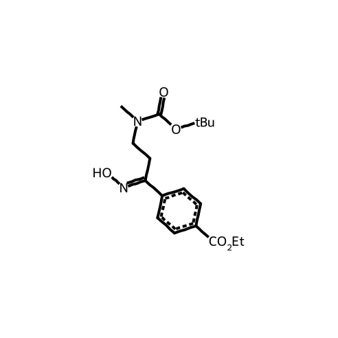 CCOC(=O)c1ccc(C(CCN(C)C(=O)OC(C)(C)C)=NO)cc1